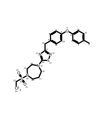 Cc1ccc(Oc2ccc(Cc3nsc(N4CCCN(S(=O)(=O)CC(F)(F)F)CC4)n3)cc2)cc1